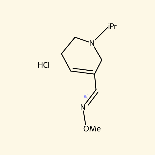 CO/N=C/C1=CCCN(C(C)C)C1.Cl